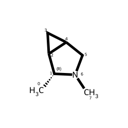 C[C@@H]1C2CC2CN1C